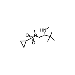 CN[C@H](CN(C)S(=O)(=O)C1CC1)C(C)(C)C